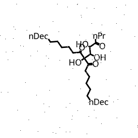 CCCCCCCCCCCCCCCC(=O)C(O)(C(=O)CCCCCCCCCCCCCCC)C(O)C(O)C(=O)CCC